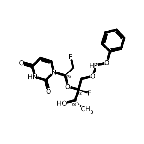 C[C@H](O)[C@@](F)(COPOc1ccccc1)O[C@H](CF)n1ccc(=O)[nH]c1=O